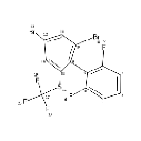 Fc1cccc(F)c1-c1c(Br)[c]c(Br)cc1SC(F)(F)F